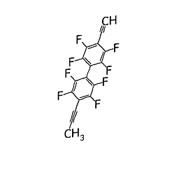 C#Cc1c(F)c(F)c(-c2c(F)c(F)c(C#CC)c(F)c2F)c(F)c1F